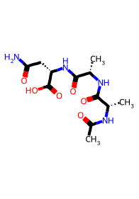 CC(=O)N[C@@H](C)C(=O)N[C@@H](C)C(=O)N[C@@H](CC(N)=O)C(=O)O